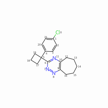 Clc1ccc(C2(c3nnc4c(n3)CCCCC4)CCC2)cc1